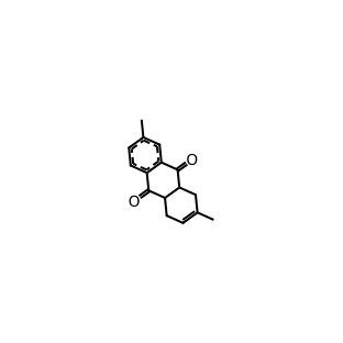 CC1=CCC2C(=O)c3ccc(C)cc3C(=O)C2C1